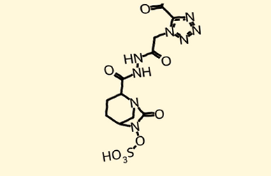 NC(=O)c1nnnn1CC(=O)NNC(=O)C1CCC2CN1C(=O)N2OS(=O)(=O)O